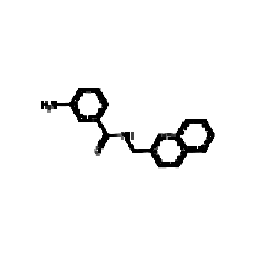 Nc1c[c]cc(C(=O)NCc2ccc3ccccc3c2)c1